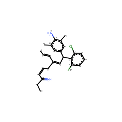 C/C=C/C(=CC(c1cc(C)c(N)c(C)c1)c1c(Cl)cccc1Cl)C/C=C\C(=N)CC